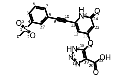 CS(=O)(=O)c1cccc(C#Cc2cc(Oc3[nH]nnc3C(=O)O)cc(=O)[nH]2)c1